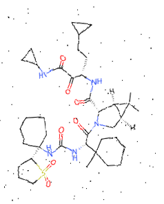 CC1([C@H](NC(=O)NC2([C@H]3CCCS3(=O)=O)CCCCC2)C(=O)N2C[C@H]3[C@@H]([C@H]2C(=O)N[C@@H](CCC2CC2)C(=O)C(=O)NC2CC2)C3(C)C)CCCCC1